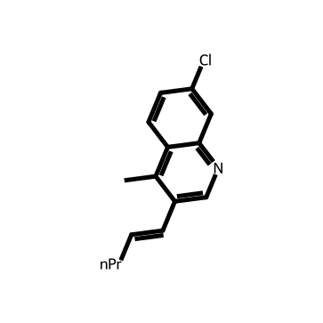 CCCC=Cc1cnc2cc(Cl)ccc2c1C